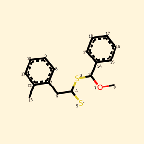 COC(SC([S])Cc1ccccc1C)c1ccccc1